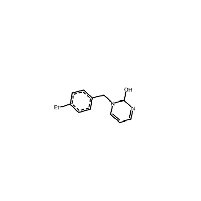 CCc1ccc(CN2C=CC=NC2O)cc1